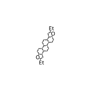 CCc1cc2c(ccc3c2ccc2c4ccc5oc(CC)cc5c4ccc32)o1